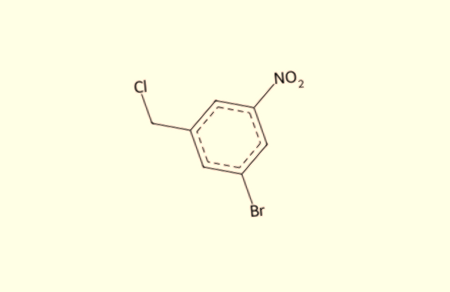 O=[N+]([O-])c1cc(Br)cc(CCl)c1